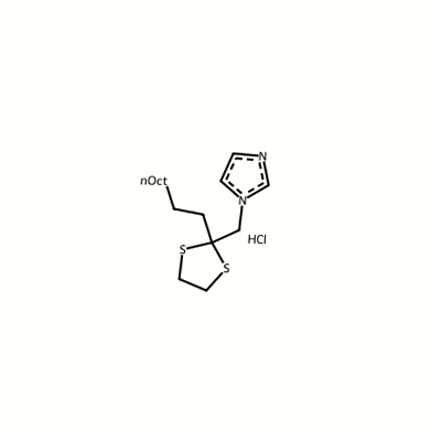 CCCCCCCCCCC1(Cn2ccnc2)SCCS1.Cl